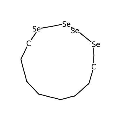 C1CCCC[Se][Se][Se][Se]CCC1